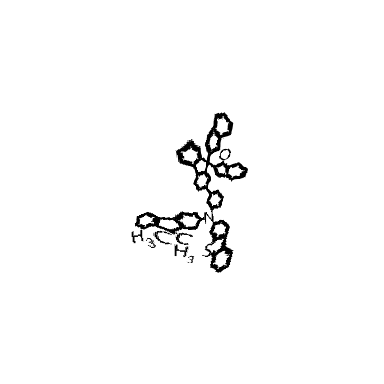 CC1(C)c2ccccc2-c2ccc(N(c3cccc(-c4ccc5c(c4)C4(c6ccccc6-5)c5ccc6ccccc6c5Oc5c4ccc4ccccc54)c3)c3ccc4c(c3)sc3ccccc34)cc21